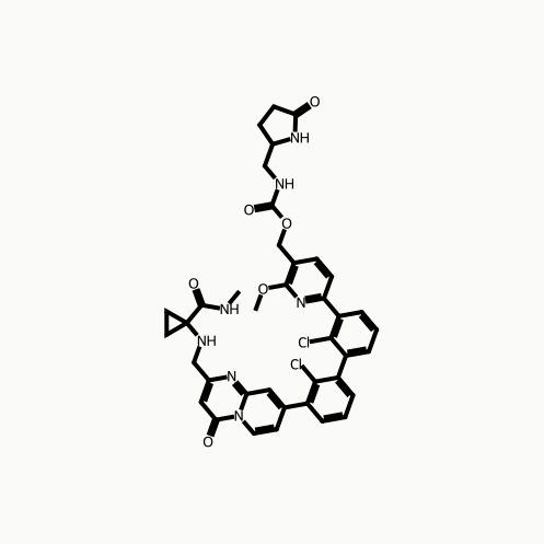 CNC(=O)C1(NCc2cc(=O)n3ccc(-c4cccc(-c5cccc(-c6ccc(COC(=O)NCC7CCC(=O)N7)c(OC)n6)c5Cl)c4Cl)cc3n2)CC1